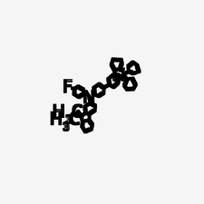 CC1(C)c2ccccc2-c2ccc(N(c3ccc(F)cc3)c3ccc(-c4ccc([Si](c5ccccc5)(c5ccccc5)c5ccccc5)cc4)cc3)cc21